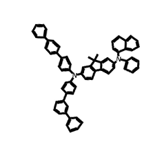 CC1(C)c2cc(N(c3ccc(-c4ccc(-c5ccccc5)cc4)cc3)c3ccc(-c4cccc(-c5ccccc5)c4)cc3)ccc2-c2ccc(N(c3ccccc3)c3cccc4ccccc34)cc21